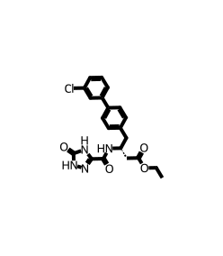 CCOC(=O)C[C@@H](Cc1ccc(-c2cccc(Cl)c2)cc1)NC(=O)c1n[nH]c(=O)[nH]1